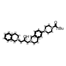 CC(C)(C)C(=O)N1CCN(c2ccc3c(c2)CCN(CC(O)CN2CCc4ccccc4C2)C3)CC1